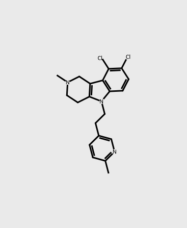 Cc1ccc(CCn2c3c(c4c(Cl)c(Cl)ccc42)CN(C)CC3)cn1